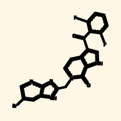 O=C(c1c(F)cccc1F)c1c[nH]c2c(=O)n(Cc3nc4ncc(Br)cc4[nH]3)ccc12